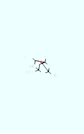 CC12CC3(C)OC(C)(CC(C)(O1)P3)O2